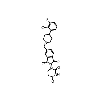 O=C1CCN(N2C(=O)c3ccc(CN4CCC(c5cccc(F)c5Cl)CC4)cc3C2=O)C(=O)N1